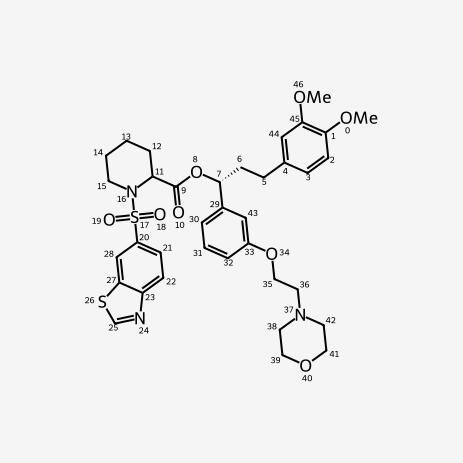 COc1ccc(CC[C@@H](OC(=O)C2CCCCN2S(=O)(=O)c2ccc3ncsc3c2)c2cccc(OCCN3CCOCC3)c2)cc1OC